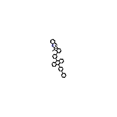 C=c1cccc/c1=C/c1sc2cccc(-c3cccc(-c4c5ccccc5c(-c5ccc(-c6ccccc6)cc5)c5ccccc45)c3)c2c1C